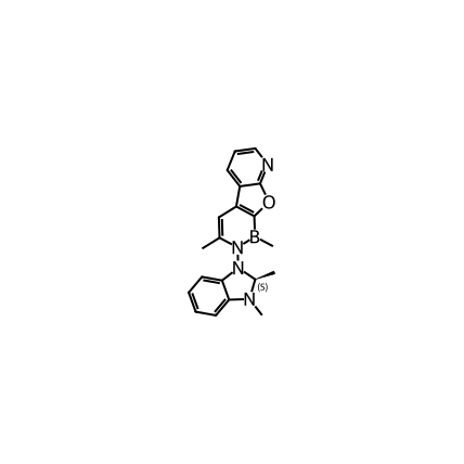 CB1c2oc3ncccc3c2C=C(C)N1N1c2ccccc2N(C)[C@@H]1C